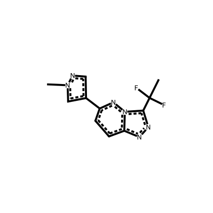 Cn1cc(-c2ccc3nnc(C(C)(F)F)n3n2)cn1